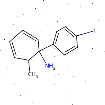 CC1C=CC=CC1(N)c1ccc(I)cc1